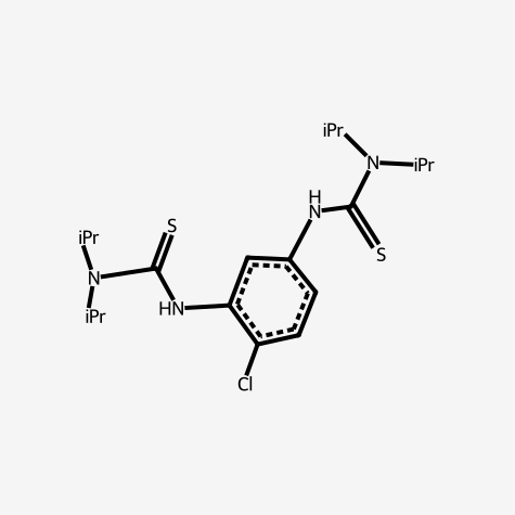 CC(C)N(C(=S)Nc1ccc(Cl)c(NC(=S)N(C(C)C)C(C)C)c1)C(C)C